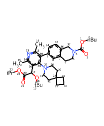 CCCCOC(=O)N1CCc2cc(-c3c(C)nc(C)c(C(OC(C)(C)C)C(=O)OC(C)C)c3N3CCC4(CCC4)CC3)ccc2C1